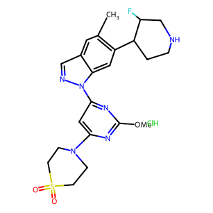 COc1nc(N2CCS(=O)(=O)CC2)cc(-n2ncc3cc(C)c(C4CCNCC4F)cc32)n1.Cl